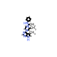 C=C(Nc1ccccc1)N1CCN(c2ncnc3[nH]cc(C)c23)C[C@@H]1C